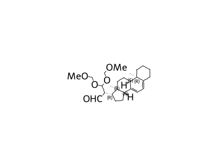 COCOC(OCOC)C(C=O)[C@H]1CC[C@H]2C3=CC=C4CCCC[C@]4(C)[C@H]3CC[C@]12C